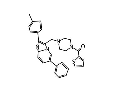 Cc1ccc(-c2nc3ccc(-c4ccccc4)cn3c2CN2CCN(C(=O)c3cccs3)CC2)cc1